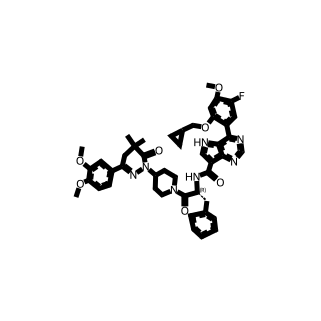 COc1cc(OCC2CC2)c(-c2ncnc3c(C(=O)N[C@H](Cc4ccccc4)C(=O)N4CCC(N5N=C(c6ccc(OC)c(OC)c6)CC(C)(C)C5=O)CC4)c[nH]c23)cc1F